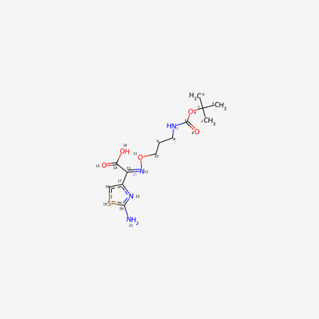 CC(C)(C)OC(=O)NCCCO/N=C(\C(=O)O)c1csc(N)n1